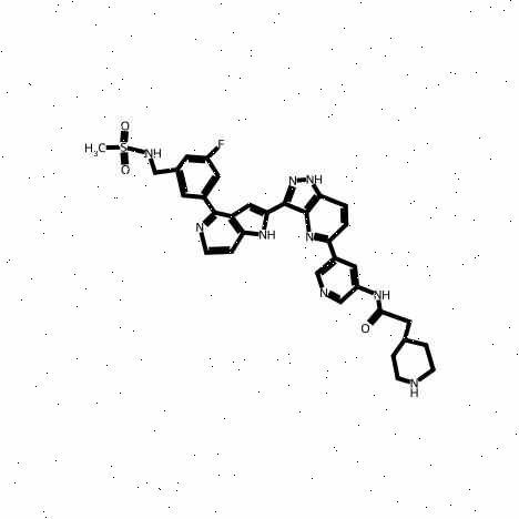 CS(=O)(=O)NCc1cc(F)cc(-c2nccc3[nH]c(-c4n[nH]c5ccc(-c6cncc(NC(=O)CC7CCNCC7)c6)nc45)cc23)c1